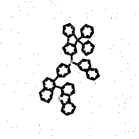 c1ccc(C2(c3ccccc3)c3ccccc3-c3ccc(N(c4ccc(-c5ccc6ccccc6c5-c5cccc6c5sc5ccccc56)cc4)c4ccc5ccccc5c4)cc32)cc1